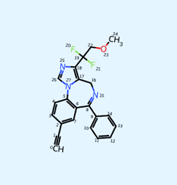 C#Cc1ccc2c(c1)C(c1ccccc1)=NCc1c(C(F)(F)COC)ncn1-2